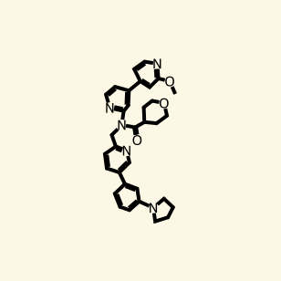 COc1cc(-c2ccnc(N(Cc3ccc(-c4cccc(N5CCCC5)c4)cn3)C(=O)C3CCOCC3)c2)ccn1